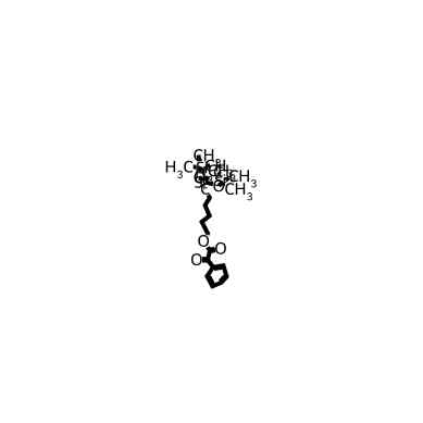 C[Si](C)(C)O[Si](C)(CCCCCCOC(=O)C(=O)c1ccccc1)O[Si](C)(C)C